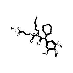 CCCCCN(C(=O)NCCC(N)=O)C(=O)C(c1cc(OC)c(OC)c(OC)c1)C1CCCCC1